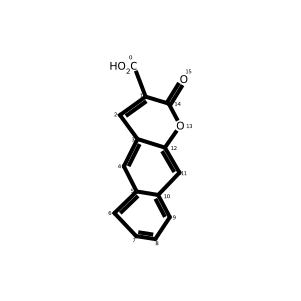 O=C(O)c1cc2cc3ccccc3cc2oc1=O